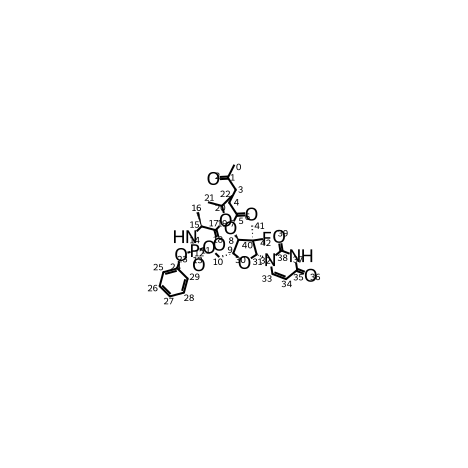 CC(=O)CCC(=O)O[C@@H]1[C@@H](COP(=O)(N[C@@H](C)C(=O)OC(C)C)Oc2ccccc2)O[C@@H](n2ccc(=O)[nH]c2=O)[C@]1(C)F